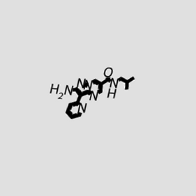 CC(C)CNC(=O)c1cnc2c(-c3ccccn3)c(N)nn2c1